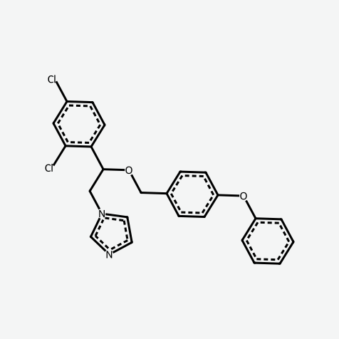 Clc1ccc(C(Cn2ccnc2)OCc2ccc(Oc3ccccc3)cc2)c(Cl)c1